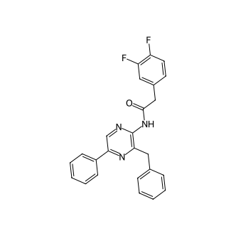 O=C(Cc1ccc(F)c(F)c1)Nc1ncc(-c2ccccc2)nc1Cc1ccccc1